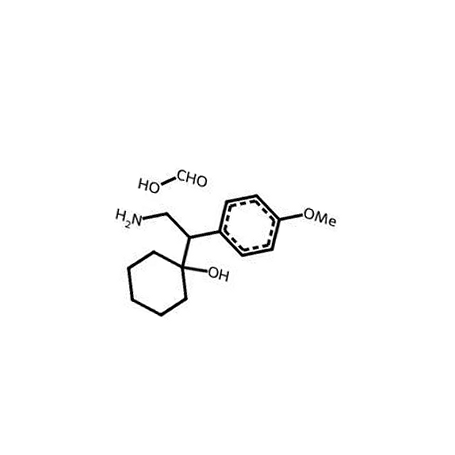 COc1ccc(C(CN)C2(O)CCCCC2)cc1.O=CO